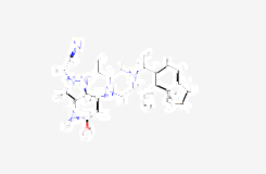 CC[C@H]1CN(C(C)c2ccc3ccsc3c2)[C@H](CC)CN1c1cc(=O)n(C)c2cn(CC#N)nc12